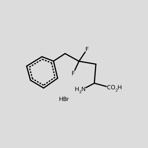 Br.NC(CC(F)(F)Cc1ccccc1)C(=O)O